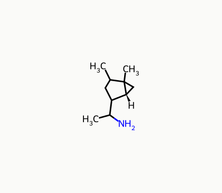 CC(N)C1CC(C)C2(C)C[C@H]12